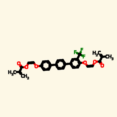 C=C(C)C(=O)O/C=C\Oc1ccc(-c2ccc(-c3ccc(O/C=C\OC(=O)C(=C)C)c(C(F)(F)F)c3)cc2)cc1